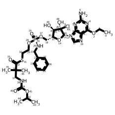 CCOc1nc(N)nc2c1ncn2[C@@H]1O[C@H](CO[P@@](=O)(NCc2ccccc2)OCCSC(=O)C(C)(C)CNC(=O)OC(C)C)[C@@H](O)[C@@]1(C)Cl